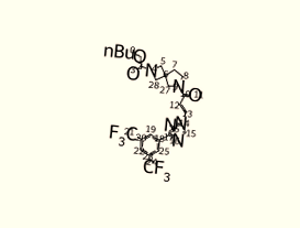 CCCCOC(=O)N1CC2(CCN(C(=O)/C=C/n3cnc(-c4cc(C(F)(F)F)cc(C(F)(F)F)c4)n3)C2)C1